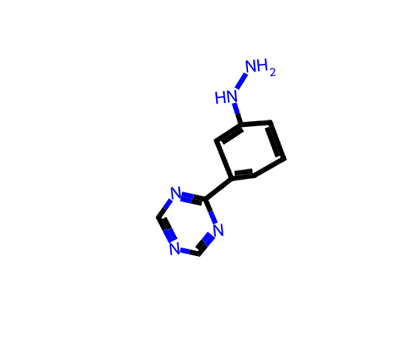 NNc1cccc(-c2ncncn2)c1